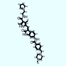 Cc1[nH]c(C=C2C(=O)Nc3cc(NC(=O)c4ccc(CN5CCN(C)CC5)cc4)ccc32)c(C)c1C(=O)NCCN1CCCC1